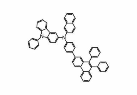 c1ccc(-c2c(-c3ccccc3)c3cc(-c4ccc(N(c5ccc6ccccc6c5)c5ccc6c(c5)c5ccccc5n6-c5ccccc5)cc4)ccc3c3ccccc23)cc1